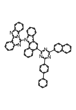 c1ccc(-c2ccc(-c3nc(-c4ccc5ccccc5c4)nc(-c4cc5c6ccccc6n(-c6nc7ccccc7c7nc8ccccc8n67)c5c5ccccc45)n3)cc2)cc1